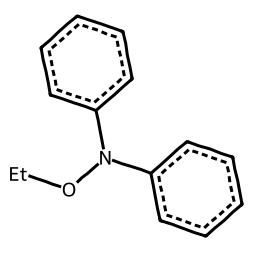 CCON(c1ccccc1)c1ccccc1